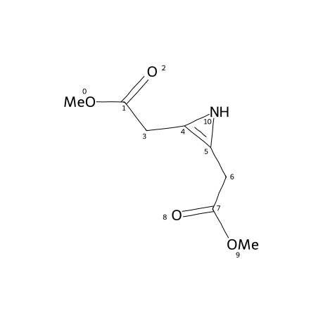 COC(=O)CC1=C(CC(=O)OC)N1